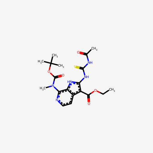 CCOC(=O)c1c(NC(=S)NC(C)=O)[nH]c2c(N(C)C(=O)OC(C)(C)C)nccc12